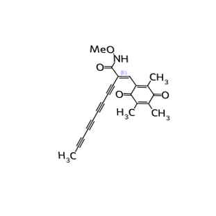 CC#CC#CC#CC#C/C(=C\C1=C(C)C(=O)C(C)=C(C)C1=O)C(=O)NOC